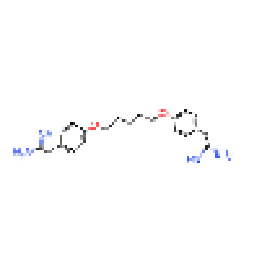 N=C(N)Cc1ccc(OCCCCCOc2ccc(CC(=N)N)cc2)cc1